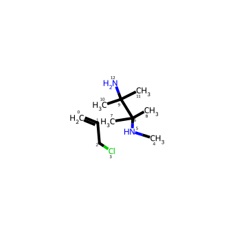 C=CCCl.CNC(C)(C)C(C)(C)N